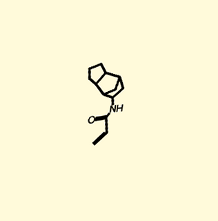 C=CC(=O)NC1CC2CC1C1CCCC21